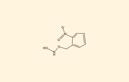 O=[N+]([O-])c1ccccc1CONO